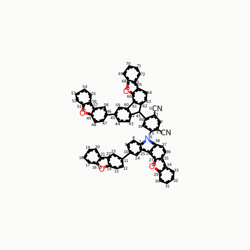 N#Cc1cc(C#N)c(-n2c3ccc(-c4ccc5oc6ccccc6c5c4)cc3c3c4oc5ccccc5c4ccc32)cc1C1c2ccc(-c3ccc4oc5ccccc5c4c3)cc2-c2c1ccc1c2oc2ccccc21